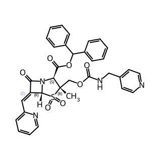 C[C@]1(COC(=O)NCc2ccncc2)[C@H](C(=O)OC(c2ccccc2)c2ccccc2)N2C(=O)/C(=C/c3ccccn3)[C@H]2S1(=O)=O